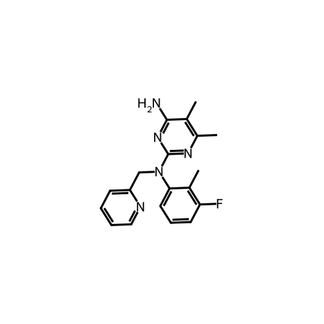 Cc1nc(N(Cc2ccccn2)c2cccc(F)c2C)nc(N)c1C